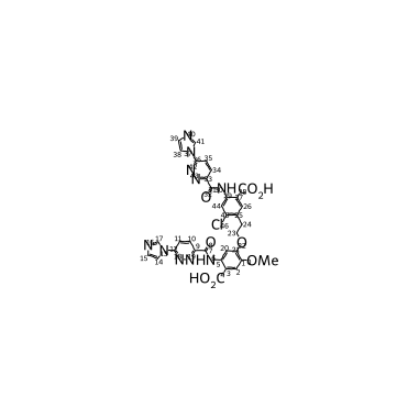 COc1cc(C(=O)O)c(NC(=O)c2ccc(-n3ccnc3)nn2)cc1OCCc1cc(C(=O)O)c(NC(=O)c2ccc(-n3ccnc3)nn2)cc1Cl